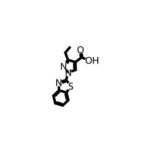 CCc1nn(-c2nc3ccccc3s2)cc1C(=O)O